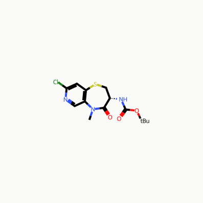 CN1C(=O)[C@@H](NC(=O)OC(C)(C)C)CSc2cc(Cl)ncc21